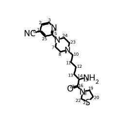 N#Cc1ccnc(N2CCN(CCCCC(N)C(=O)N3CCSC3)CC2)c1